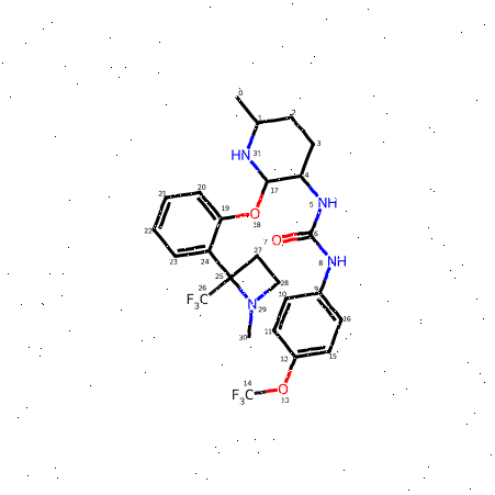 CC1CCC(NC(=O)Nc2ccc(OC(F)(F)F)cc2)C(Oc2ccccc2C2(C(F)(F)F)CCN2C)N1